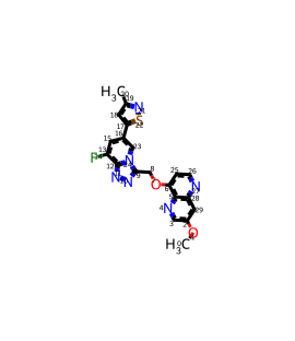 COc1cnc2c(OCc3nnc4c(F)cc(-c5cc(C)ns5)cn34)ccnc2c1